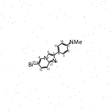 CNc1ccc(-c2cn3cc(Br)ccc3n2)cc1